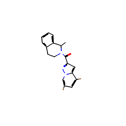 CC1c2ccccc2CCN1C(=O)c1cc2c(Br)cc(Br)cn2n1